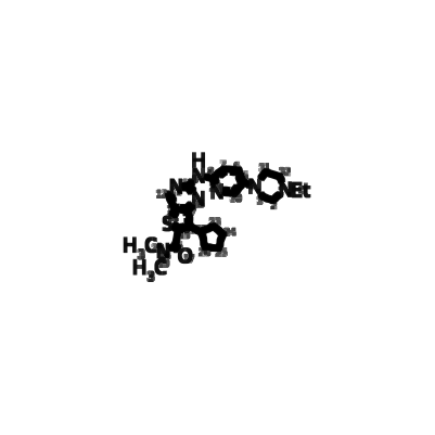 CCN1CCN(c2ccc(Nc3ncc4sc(C(=O)N(C)C)c(C5CCCC5)c4n3)nc2)CC1